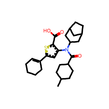 CC1CCC(C(=O)N(c2cc(C3=CCCCC3)sc2C(=O)O)C2CC3CCC(C3)C2)CC1